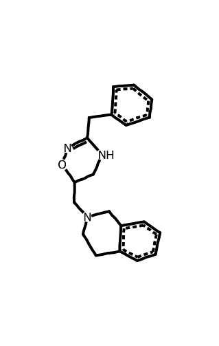 c1ccc(CC2=NOC(CN3CCc4ccccc4C3)CN2)cc1